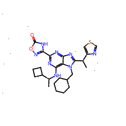 CC(c1cscn1)c1nc2nc(-c3noc(=O)[nH]3)nc(NC(C)C3CCC3)c2n1CC1CCCCC1